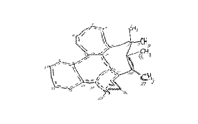 CC1(C)c2cccc3c4ccccc4c4ncc(n4c23)C1(C)C